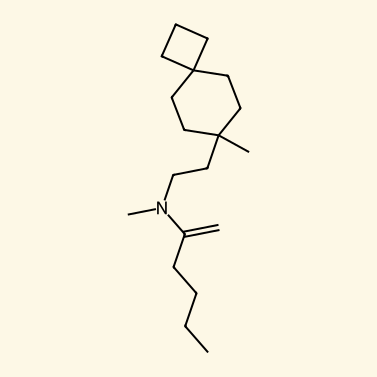 C=C(CCCC)N(C)CCC1(C)CCC2(CCC2)CC1